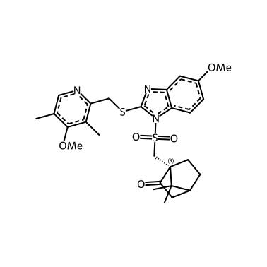 COc1ccc2c(c1)nc(SCc1ncc(C)c(OC)c1C)n2S(=O)(=O)C[C@@]12CCC(CC1=O)C2(C)C